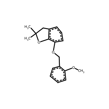 COc1c[c]ccc1COc1cccc2c1OC(C)(C)C2